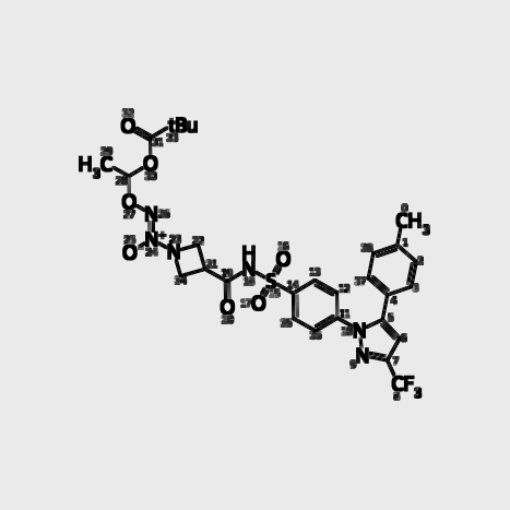 Cc1ccc(-c2cc(C(F)(F)F)nn2-c2ccc(S(=O)(=O)NC(=O)C3CN([N+]([O-])=NOC(C)OC(=O)C(C)(C)C)C3)cc2)cc1